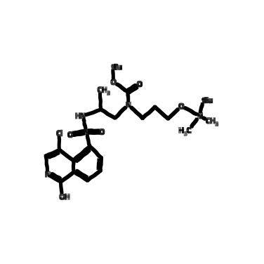 CC(CN(CCCO[Si](C)(C)C(C)(C)C)C(=O)OC(C)(C)C)NS(=O)(=O)c1cccc2c(O)ncc(Cl)c12